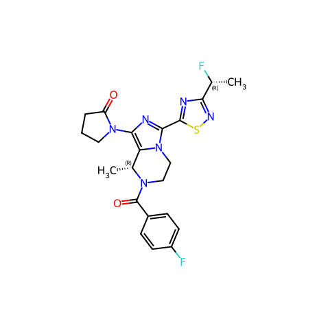 C[C@@H]1c2c(N3CCCC3=O)nc(-c3nc([C@@H](C)F)ns3)n2CCN1C(=O)c1ccc(F)cc1